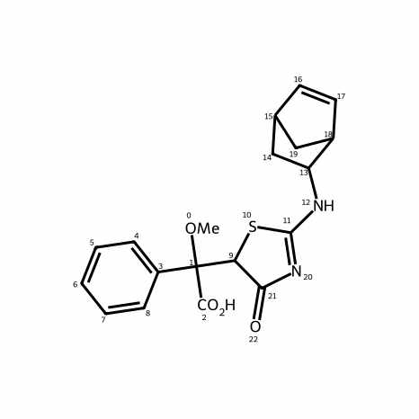 COC(C(=O)O)(c1ccccc1)C1SC(NC2CC3C=CC2C3)=NC1=O